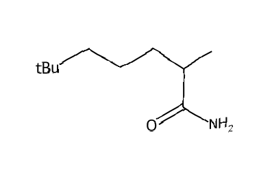 CC(CCCC(C)(C)C)C(N)=O